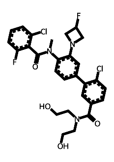 CN(C(=O)c1c(F)cccc1Cl)c1ccc(-c2cc(C(=O)N(CCO)CCO)ccc2Cl)cc1N1CC(F)C1